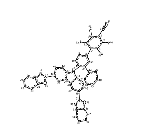 N#Cc1c(F)c(F)c(-c2ccc(-n3c4ccc(-c5nc6ccccc6o5)cc4c4cc(-c5nc6ccccc6o5)ccc43)c(-c3ccccc3)c2)c(F)c1F